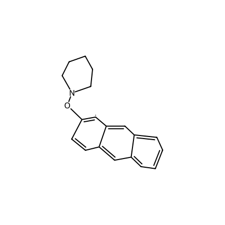 [c]1c(ON2CCCCC2)ccc2cc3ccccc3cc12